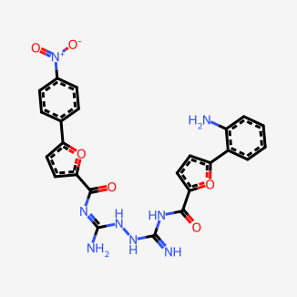 N=C(NNC(N)=NC(=O)c1ccc(-c2ccc([N+](=O)[O-])cc2)o1)NC(=O)c1ccc(-c2ccccc2N)o1